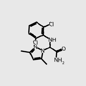 Cc1cc(C)n(C(Nc2c(Cl)cccc2Cl)C(N)=O)n1